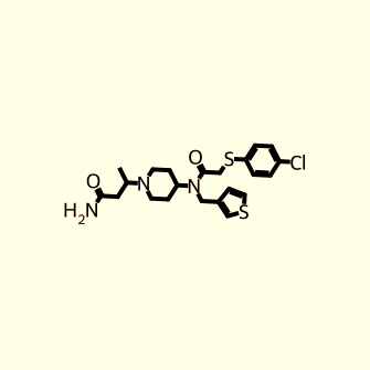 CC(CC(N)=O)N1CCC(N(Cc2ccsc2)C(=O)CSc2ccc(Cl)cc2)CC1